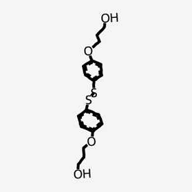 OCCCOc1ccc(SSc2ccc(OCCCO)cc2)cc1